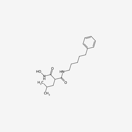 CC(C)CC(C(=O)NO)C(=O)NCCCCCc1ccccc1